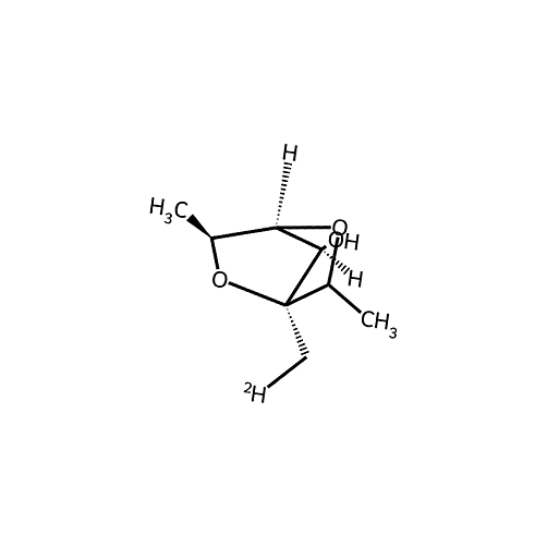 [2H]C[C@@]12O[C@@H](C)[C@@H](OC1C)[C@H]2O